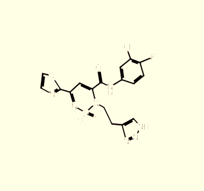 O=C(Nc1ccc(F)c(Cl)c1)C1=CC(c2nccs2)=NS(=O)(=O)N1CCc1c[nH]nn1